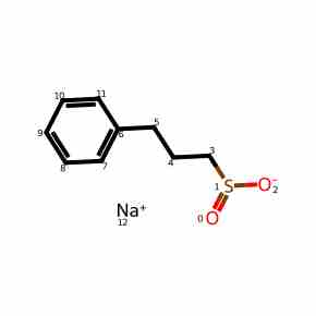 O=S([O-])CCCc1ccccc1.[Na+]